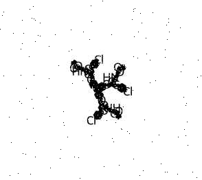 C=C(C)C(=O)OCCNCOC(COc1ccc(C(C)(c2ccc(OCC(CSc3ccc(Cl)cc3)OC(=O)NCCOC(=O)C(=C)C)cc2)c2ccc(OCC(CSc3ccc(Cl)cc3)OC(=O)NCCOC(=O)C(=C)C)cc2)cc1)CSc1ccc(Cl)cc1